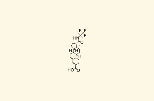 CC(C)(NC(=O)[C@H]1CC[C@H]2[C@@H]3CC=C4C=C(C(=O)O)CC[C@]4(C)[C@H]3CC[C@]12C)C(F)(F)F